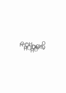 C[C@]12CCC(=O)C[C@H]1CC[C@@H]1[C@@H]2CC[C@]2(C)[C@@H](C3=CC(=O)OC3)CC[C@]12O